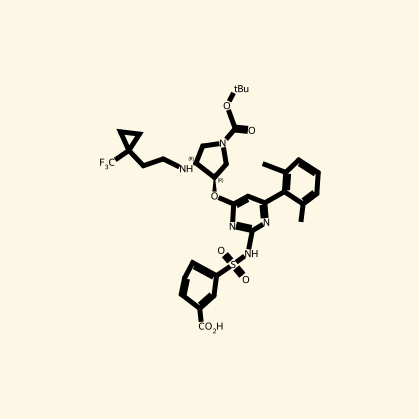 Cc1cccc(C)c1-c1cc(O[C@@H]2CN(C(=O)OC(C)(C)C)C[C@H]2NCCC2(C(F)(F)F)CC2)nc(NS(=O)(=O)c2cccc(C(=O)O)c2)n1